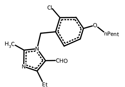 CCCCCOc1ccc(Cn2c(C)nc(CC)c2C=O)c(Cl)c1